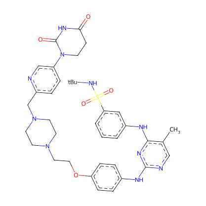 Cc1cnc(Nc2ccc(OCCN3CCN(Cc4ccc(N5CCC(=O)NC5=O)cn4)CC3)cc2)nc1Nc1cccc(S(=O)(=O)NC(C)(C)C)c1